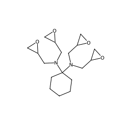 C1CCC(N(CC2CO2)CC2CO2)(N(CC2CO2)CC2CO2)CC1